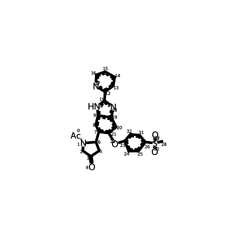 CC(=O)N1CC(=O)CC1c1cc2[nH]c(-c3ccccn3)nc2cc1Oc1ccc(S(C)(=O)=O)cc1